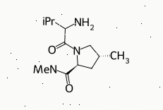 CNC(=O)[C@@H]1C[C@@H](C)CN1C(=O)C(N)C(C)C